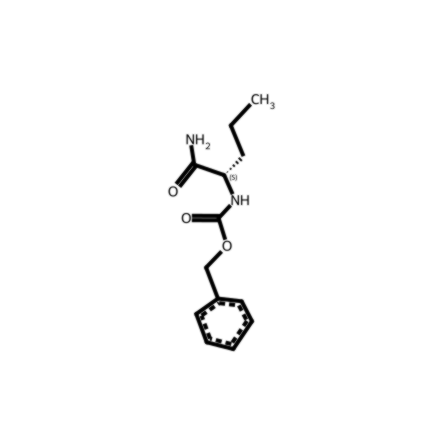 CCC[C@H](NC(=O)OCc1ccccc1)C(N)=O